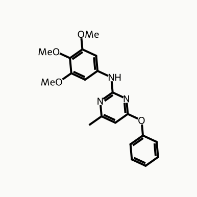 COc1cc(Nc2nc(C)cc(Oc3ccccc3)n2)cc(OC)c1OC